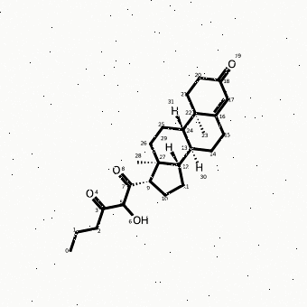 CCCC(=O)C(O)C(=O)[C@H]1CC[C@H]2[C@@H]3CCC4=CC(=O)CC[C@]4(C)[C@H]3CC[C@]12C